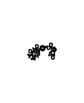 CC(C)N[C@H](C(=O)N[C@@H](C)C(=O)Nc1ccc(COC(=O)N2CCC[C@H]2CN(C)C(=O)I)cc1)C(C)C